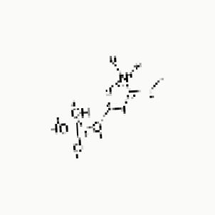 CCC(CCOP(=O)(O)O)[N+](C)(C)C